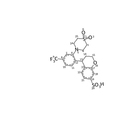 O=S1(=O)CCN(c2cc(C(F)(F)F)ccc2C2CCOc3cc(S(=O)(=O)O)ccc32)CC1